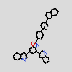 c1ccc2cc(-c3ccc(-c4ccc(-c5nc6c(-c7cnc8ccccc8c7)cc(-c7cnc8ccccc8c7)cc6o5)cc4)cc3)ccc2c1